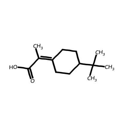 CC(C(=O)O)=C1CCC(C(C)(C)C)CC1